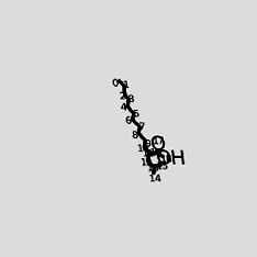 CCCCCCCCCCCC(CC(C)C)C(=O)O